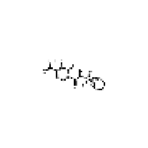 COc1c(C(=O)NS(=O)(=O)N2C3CCC2CC3)ccc(C(=O)O)c1F